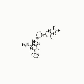 Cc1cc(N2CCC[C@@H](c3nc4c(C)c(-c5ncco5)nc(N)n4n3)C2)cnc1OC(F)F